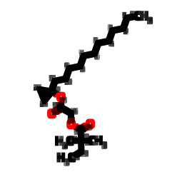 CCCCCCCCCCCCC1(OC(=O)COC(=O)C(C)(C)CC)CC1